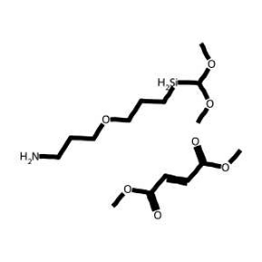 COC(=O)C=CC(=O)OC.COC(OC)[SiH2]CCCOCCCN